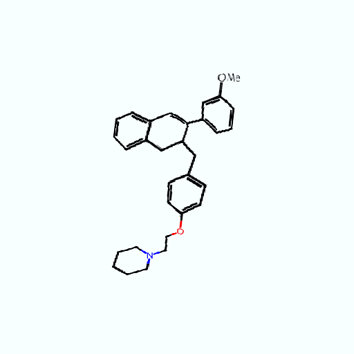 COc1cccc(C2=Cc3ccccc3CC2Cc2ccc(OCCN3CCCCC3)cc2)c1